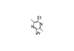 CCc1nc(C)c(C(C)C)nc1C